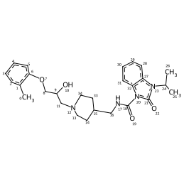 Cc1ccccc1OCC(O)CN1CCC(CNC(=O)n2c(=O)n(C(C)C)c3ccccc32)CC1